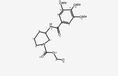 COc1cc(C(=O)NC2CCCN(C(=O)OCCl)C2)cc(OC)c1OC